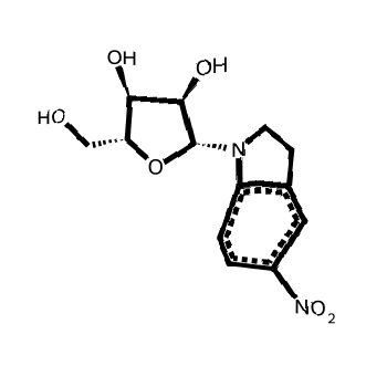 O=[N+]([O-])c1ccc2c(c1)CCN2[C@@H]1O[C@H](CO)[C@@H](O)[C@H]1O